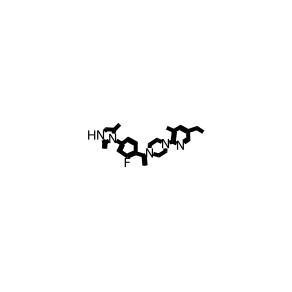 C=C(c1ccc(N2C(=C)NCC2C)cc1F)N1CCN(c2ncc(CC)cc2C)CC1